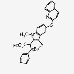 CCOC(=O)C(Cc1ccccc1)c1c(SC(C)(C)C)c2cc(Sc3ccc4ccccc4n3)ccc2n1C